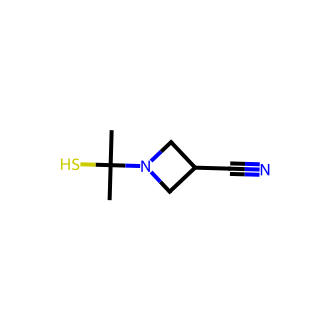 CC(C)(S)N1CC(C#N)C1